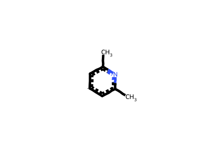 Cc1c[c]cc(C)n1